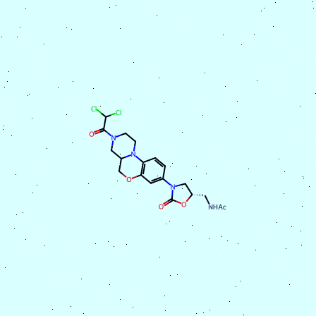 CC(=O)NC[C@H]1CN(c2ccc3c(c2)OCC2CN(C(=O)C(Cl)Cl)CCN32)C(=O)O1